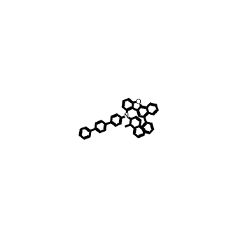 CC1c2ccccc2C=CC1N(c1ccc(-c2ccc(-c3ccccc3)cc2)cc1)c1cccc2oc3c4ccccc4c(-c4ccccc4)cc3c12